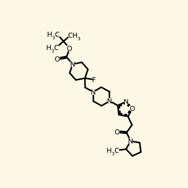 CC1CCCN1C(=O)Cc1cc(N2CCN(CC3(F)CCN(C(=O)OC(C)(C)C)CC3)CC2)no1